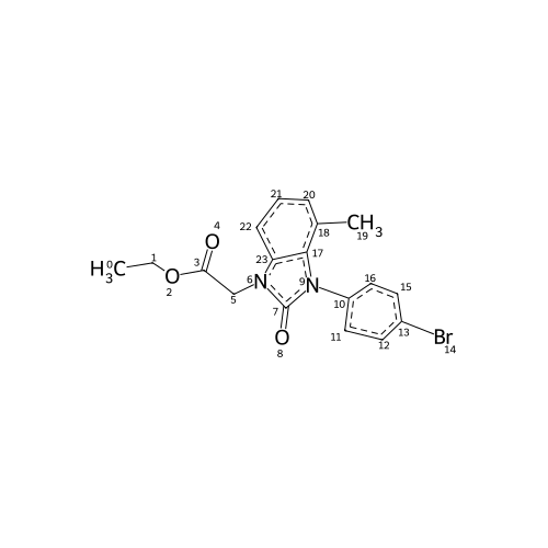 CCOC(=O)Cn1c(=O)n(-c2ccc(Br)cc2)c2c(C)cccc21